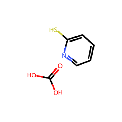 O=C(O)O.Sc1ccccn1